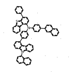 c1ccc(-c2ccc(N(c3ccc(-c4ccc5ccccc5c4)cc3)c3ccc(-c4cccc5c4c4ccccc4n5-c4cccc5ccccc45)cc3)c3c2sc2ccccc23)cc1